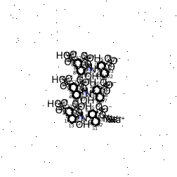 O=S(=O)([O-])c1ccc(/N=N/c2c(O)ccc3cc(S(=O)(=O)O)cc(S(=O)(=O)O)c23)c2ccccc12.O=S(=O)([O-])c1ccc(/N=N/c2c(O)ccc3cc(S(=O)(=O)O)cc(S(=O)(=O)O)c23)c2ccccc12.O=S(=O)([O-])c1ccc(/N=N/c2c(O)ccc3cc(S(=O)(=O)O)cc(S(=O)(=O)O)c23)c2ccccc12.[Na+].[Na+].[Na+]